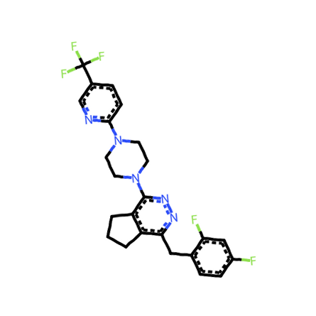 Fc1ccc(Cc2nnc(N3CCN(c4ccc(C(F)(F)F)cn4)CC3)c3c2CCC3)c(F)c1